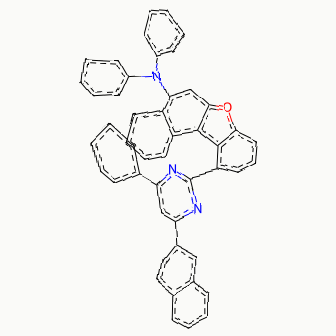 c1ccc(-c2cc(-c3ccc4ccccc4c3)nc(-c3cccc4oc5cc(N(c6ccccc6)c6ccccc6)c6ccccc6c5c34)n2)cc1